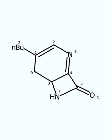 CCCCC1=CN=C2C(=O)NC2C1